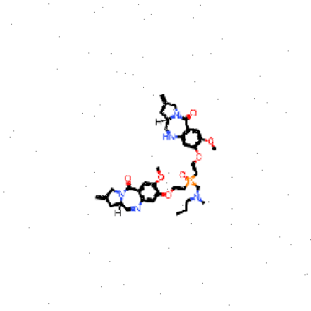 C=C1C[C@H]2CNc3cc(OCCP(=O)(CCOc4cc5c(cc4OC)C(=O)N4CC(=C)C[C@H]4C=N5)CN(C)CCC)c(OC)cc3C(=O)N2C1